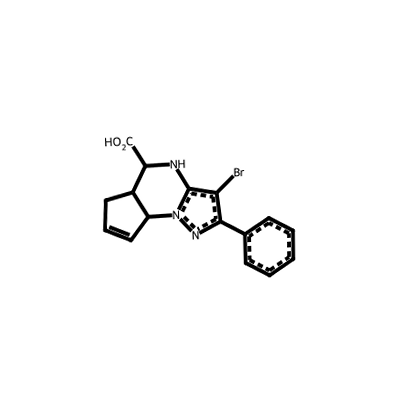 O=C(O)C1Nc2c(Br)c(-c3ccccc3)nn2C2C=CCC12